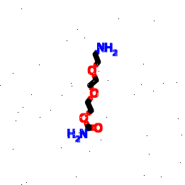 NCCOCCOCCOC(N)=O